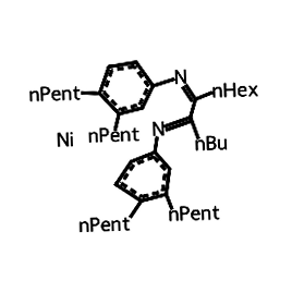 CCCCCCC(=Nc1ccc(CCCCC)c(CCCCC)c1)C(CCCC)=Nc1ccc(CCCCC)c(CCCCC)c1.[Ni]